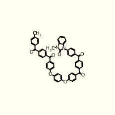 Cc1ccc(C(=O)c2ccc(C(=O)c3ccc(Oc4ccc(Oc5ccc(C(=O)c6ccc(C(=O)c7ccc(-n8c(=O)n(C)c9ccccc98)cc7)cc6)cc5)cc4)cc3)cc2)cc1